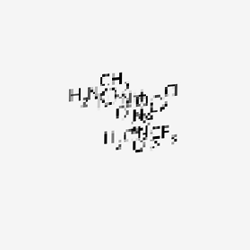 Cc1cc(NC(=O)C(=O)N2C[C@@H](C)N(C(=O)C3(C(F)(F)F)CC3)C[C@@H]2c2ccc(Cl)cc2)cnc1N